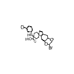 O=C(O)C1(Nc2cccc(Cl)c2)CCC2(C=CC3=C2C=C2OC(Br)COC2C3)CC1